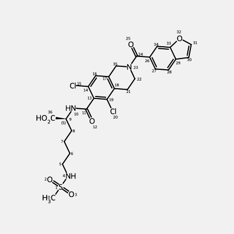 CS(=O)(=O)NCCCC[C@H](NC(=O)c1c(Cl)cc2c(c1Cl)CCN(C(=O)c1ccc3ccoc3c1)C2)C(=O)O